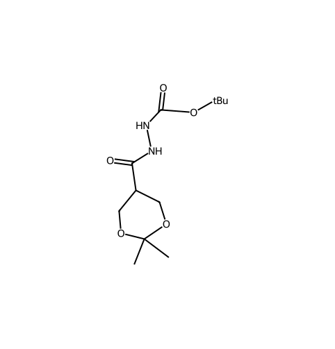 CC(C)(C)OC(=O)NNC(=O)C1COC(C)(C)OC1